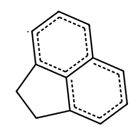 [c]1ccc2cccc3c2c1CC3